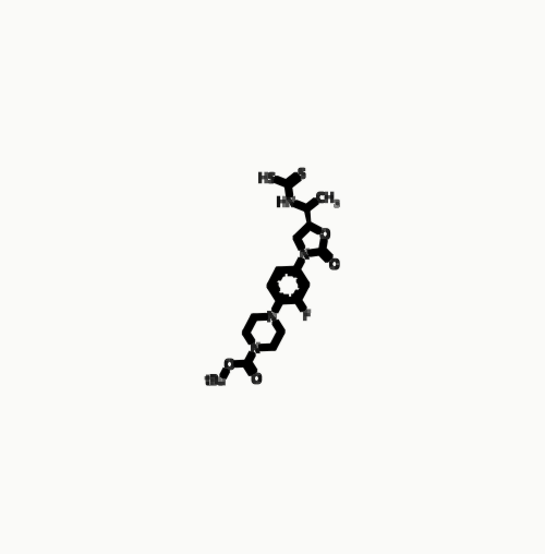 CC(NC(=S)S)[C@@H]1CN(c2ccc(N3CCN(C(=O)OC(C)(C)C)CC3)c(F)c2)C(=O)O1